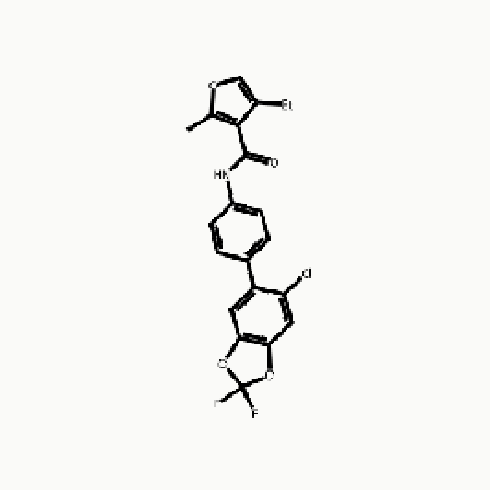 CCc1coc(C)c1C(=O)Nc1ccc(-c2cc3c(cc2Cl)OC(F)(F)O3)cc1